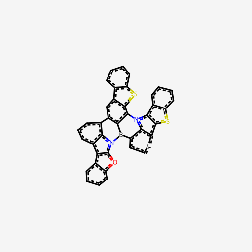 c1ccc2c(c1)oc1c2c2cccc3c2n1B1c2c-3cc3c(sc4ccccc43)c2-n2c3c1cccc3c1sc3ccccc3c12